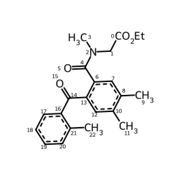 CCOC(=O)CN(C)C(=O)c1cc(C)c(C)cc1C(=O)c1ccccc1C